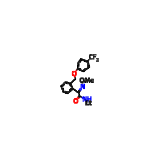 CCNC(=O)/C(=N/OC)c1ccccc1COc1ccc(C(F)(F)F)cc1